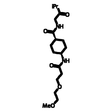 COCCOCCC(=O)N[C@H]1CC[C@@H](C(=O)NCC(=O)C(C)C)CC1